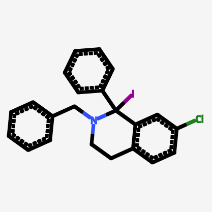 Clc1ccc2c(c1)C(I)(c1ccccc1)N(Cc1ccccc1)CC2